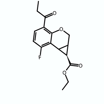 CCOC(=O)[C@@H]1C2COc3c(C(=O)CC)ccc(F)c3C21